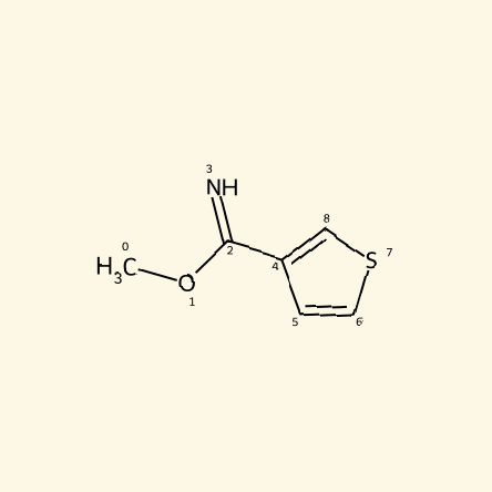 COC(=N)c1ccsc1